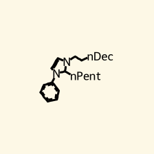 CCCCCCCCCCCCN1C=CN(c2ccccc2)C1CCCCC